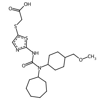 COCC1CCC(N(C(=O)Nc2ncc(SCC(=O)O)s2)C2CCCCCC2)CC1